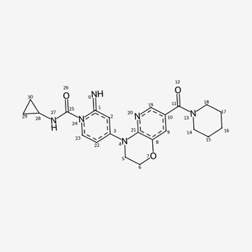 N=c1cc(N2CCOc3cc(C(=O)N4CCCCC4)cnc32)ccn1C(=O)NC1CC1